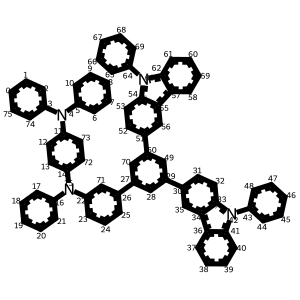 c1ccc(N(c2ccccc2)c2ccc(N(c3ccccc3)c3cccc(-c4cc(-c5ccc6c(c5)c5ccccc5n6-c5ccccc5)cc(-c5ccc6c(c5)c5ccccc5n6-c5ccccc5)c4)c3)cc2)cc1